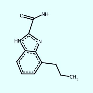 CCCc1cccc2[nH]c(C([NH])=O)nc12